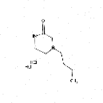 CCCCN1CCNC(=O)C1.Cl.Cl